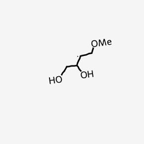 COC[CH]C(O)CO